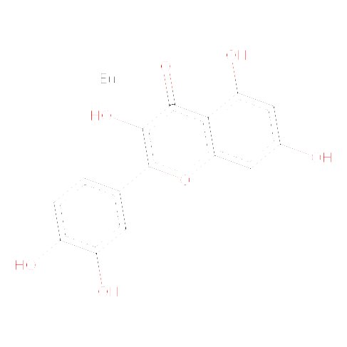 O=c1c(O)c(-c2ccc(O)c(O)c2)oc2cc(O)cc(O)c12.[Eu]